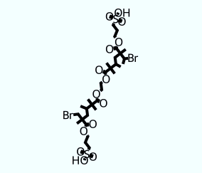 CC(CC(C)(CBr)C(=O)OCCCS(=O)(=O)O)C(C)(C)C(=O)OCCOC(=O)C(C)(C)C(C)CC(C)(C(=O)OCCCS(=O)(=O)O)C(C)Br